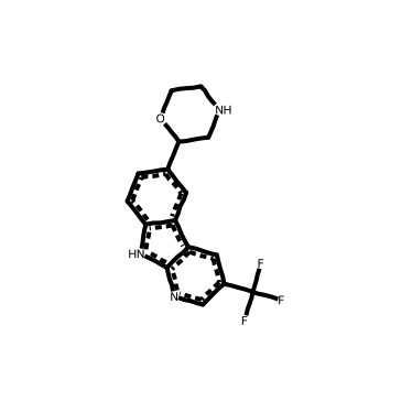 FC(F)(F)c1cnc2[nH]c3ccc(C4CNCCO4)cc3c2c1